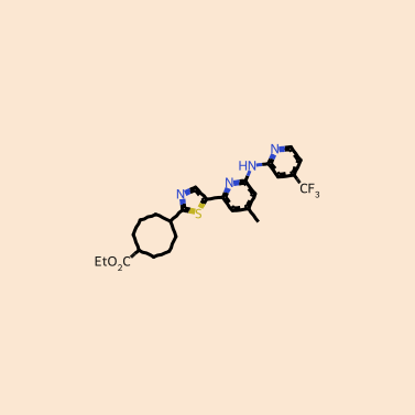 CCOC(=O)C1CCCC(c2ncc(-c3cc(C)cc(Nc4cc(C(F)(F)F)ccn4)n3)s2)CCC1